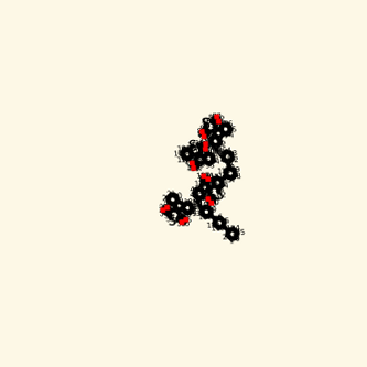 c1ccc(-c2ccc(-c3ccc(N(c4ccc5c(c4)-c4ccccc4C54c5ccccc5Sc5ccccc54)c4ccc5c(c4)C4(c6ccccc6Sc6cc(-c7cccc(-c8cccc(N(c9ccc%10c(c9)-c9ccccc9C%109c%10ccccc%10Sc%10ccccc%109)c9ccc%10c(c9)C9(c%11ccccc%11Sc%11ccccc%119)c9ccccc9-%10)c8)c7)ccc64)c4ccccc4-5)cc3)cc2)cc1